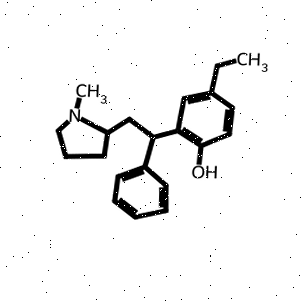 CCc1ccc(O)c(C(CC2CCCN2C)c2ccccc2)c1